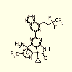 NC(=O)c1nc(-c2cn3ncnc3c(CCC(F)(F)C(F)(F)F)n2)nc2c1C(c1ccc(C(F)(F)F)cn1)(C1CC1)C(=O)N2